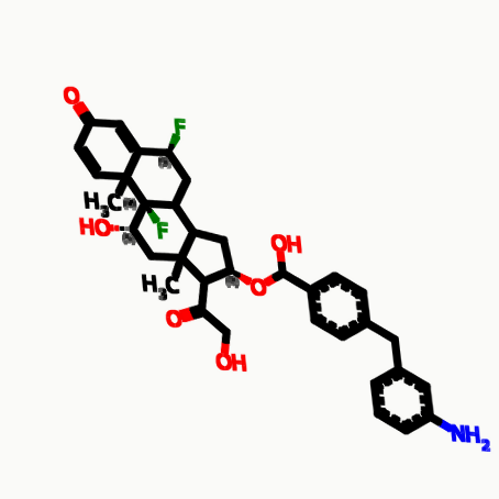 CC12C[C@H](O)[C@@]3(F)C(C[C@H](F)C4=CC(=O)C=CC43C)C1C[C@@H](OC(O)c1ccc(Cc3cccc(N)c3)cc1)C2C(=O)CO